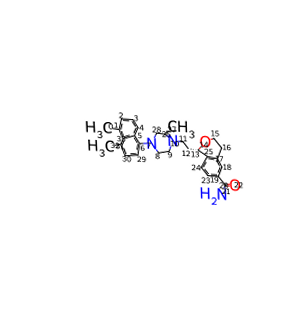 Cc1cccc2c(N3CCN(CC[C@@H]4OCCc5cc(C(N)=O)ccc54)[C@H](C)C3)ccc(C)c12